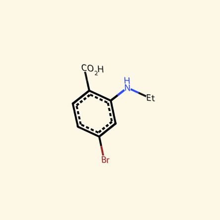 CCNc1cc(Br)ccc1C(=O)O